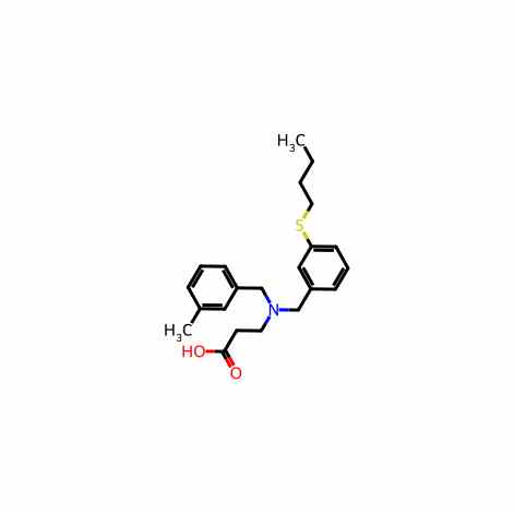 CCCCSc1cccc(CN(CCC(=O)O)Cc2cccc(C)c2)c1